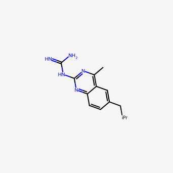 Cc1nc(NC(=N)N)nc2ccc(CC(C)C)cc12